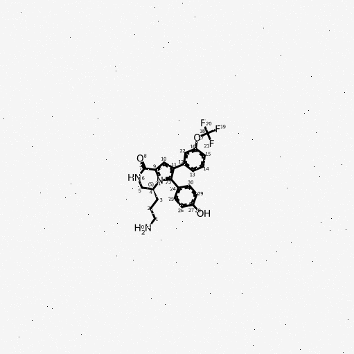 NCCC[C@H]1CNC(=O)c2cc(-c3cccc(OC(F)(F)F)c3)c(-c3ccc(O)cc3)n21